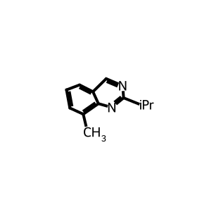 Cc1cccc2cnc(C(C)C)nc12